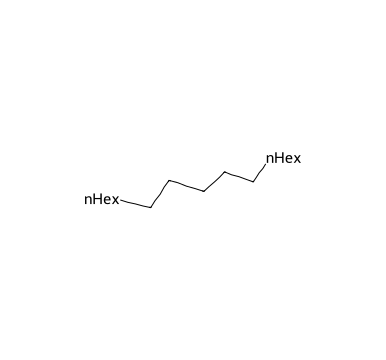 [CH2]CCCCCCCCCCCCCCCC